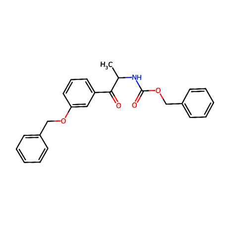 CC(NC(=O)OCc1ccccc1)C(=O)c1cccc(OCc2ccccc2)c1